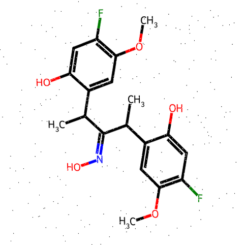 COc1cc(C(C)C(=NO)C(C)c2cc(OC)c(F)cc2O)c(O)cc1F